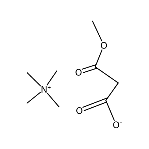 COC(=O)CC(=O)[O-].C[N+](C)(C)C